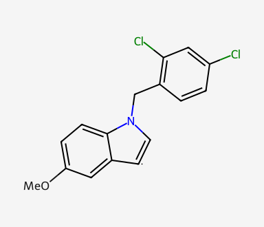 COc1ccc2c([c]cn2Cc2ccc(Cl)cc2Cl)c1